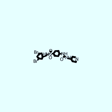 O=C(NCc1ccncc1)Nc1ccc(S(=O)(=O)NCc2cc(Br)cc(Br)c2)cc1